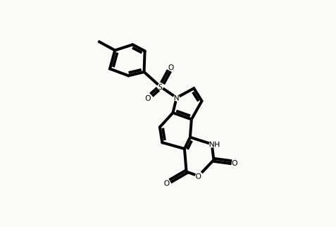 Cc1ccc(S(=O)(=O)n2ccc3c4[nH]c(=O)oc(=O)c4ccc32)cc1